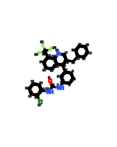 O=C(Nc1cccc(-c2c(Cc3ccccc3)cnc3c(C(F)(F)F)cccc23)c1)Nc1ccccc1Cl